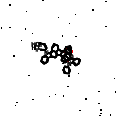 C#C/C=C\C(=C/C)n1c2ccccc2c2cc3c4c(cccc4c21)C12c4cccc5c4c(cc4c5c5ccccc5n4-c4ccccc4)C31c1cccc3oc4cccc2c4c13